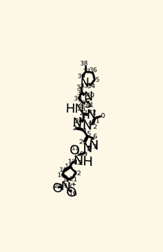 Cc1cn2c(-c3cnn(CC(=O)NCC4=CC=C([N+](=O)[O-])CC4)c3)cnc2c(NC2CC(CN3CCCC(C)C3)=NS2)n1